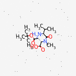 CC(C)[C@H](N)C(=O)N(C)[C@@H](CC(=O)OC(C)(C)C)C(=O)O